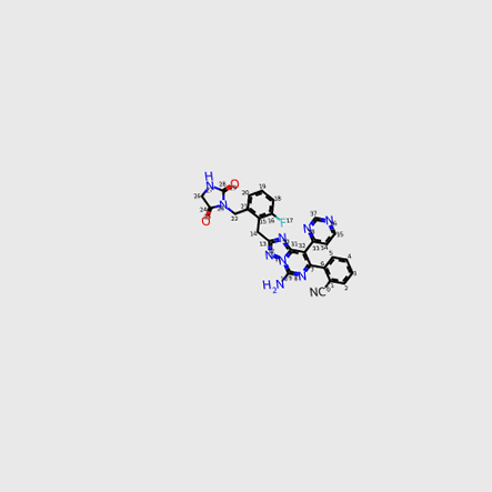 N#Cc1ccccc1-c1nc(N)n2nc(Cc3c(F)cccc3CN3C(=O)CNC3=O)nc2c1-c1ccncn1